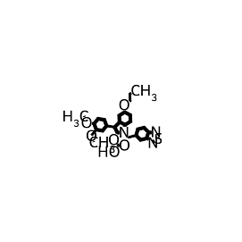 CCCOc1ccc2c(c1)c(-c1ccc(OC)c(OC)c1)c(OC(=O)O)n2Cc1ccc2nsnc2c1